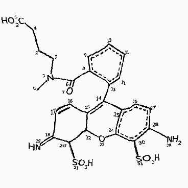 CN(CCCC(=O)O)C(=O)c1ccccc1C1=C2C=CC(=N)C(S(=O)(=O)O)C2Oc2c1ccc(N)c2S(=O)(=O)O